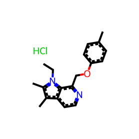 CCn1c(C)c(C)c2ccnc(COc3ccc(C)cc3)c21.Cl